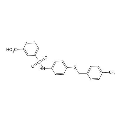 O=C(O)c1cccc(S(=O)(=O)Nc2ccc(SCc3ccc(C(F)(F)F)cc3)cc2)c1